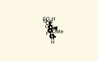 COc1c(N2CCNC(C)C2)c(F)cc2c(=O)c(C(=O)OCOC(=O)O)cn(C3CC3)c12